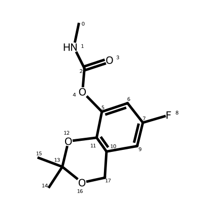 CNC(=O)Oc1cc(F)cc2c1OC(C)(C)OC2